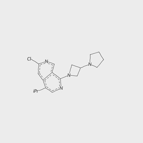 CC(C)c1cnc(N2CC(N3CCCC3)C2)c2cnc(Cl)cc12